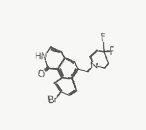 O=c1[nH]ccc2cc(CN3CCC(F)(F)CC3)c3ccc(Br)cc3c12